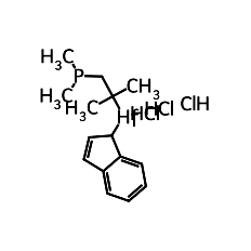 CP(C)C[C](C)(C)[Hf][CH]1C=Cc2ccccc21.Cl.Cl.Cl